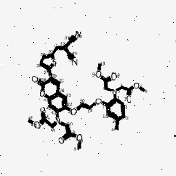 COC(=O)CN(CC(=O)OC)c1ccc(C)cc1OCCOc1cc2cc(-c3ccc(C=C(C#N)C#N)s3)c(=O)oc2cc1N(CC(=O)OC)CC(=O)OC